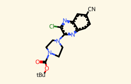 CC(C)(C)OC(=O)N1CCN(c2nc3ccc(C#N)cc3nc2Cl)CC1